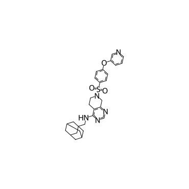 O=S(=O)(c1ccc(Oc2cccnc2)cc1)N1CCc2c(ncnc2NCC23CC4CC(CC(C4)C2)C3)C1